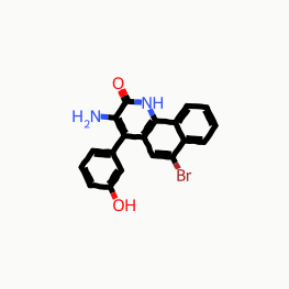 Nc1c(-c2cccc(O)c2)c2cc(Br)c3ccccc3c2[nH]c1=O